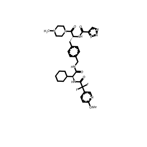 COc1ccc(C(F)(F)C(=O)N[C@H](C(=O)NCc2ccc(C[C@@H](NC(=O)c3cnns3)C(=O)N3CCN(C)CC3)cc2)C2CCCCC2)cn1